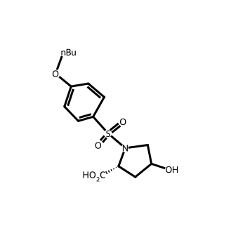 CCCCOc1ccc(S(=O)(=O)N2CC(O)C[C@@H]2C(=O)O)cc1